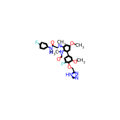 COc1cc(-c2cc(F)c(OCc3nnc[nH]3)c(OC)c2)c(N(C)C=O)c(N(C)CC(=O)Nc2ccc(F)cc2)c1